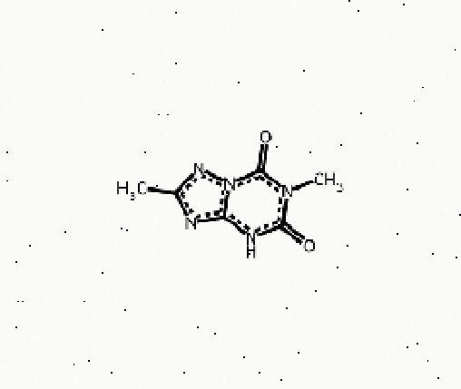 Cc1nc2[nH]c(=O)n(C)c(=O)n2n1